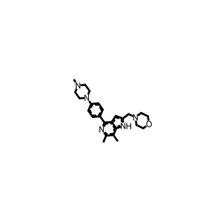 Cc1nc(-c2ccc(N3CCN(C)CC3)cc2)c2cc(CN3CCOCC3)[nH]c2c1C